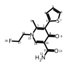 Cc1c(-c2cccs2)c(=O)c(C(N)=O)cn1CCF